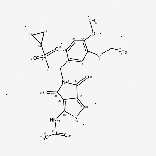 CCOc1cc([C@@H](CS(=O)(=O)C2CC2)N2C(=O)c3csc(NC(C)=O)c3C2=O)ccc1OC